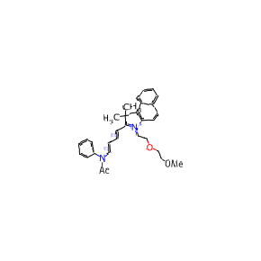 COCCOCC[N+]1=C(/C=C/C=C/N(C(C)=O)c2ccccc2)C(C)(C)c2c1ccc1ccccc21